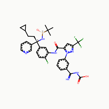 CC(C)(C)[S@@+]([O-])N[C@@](CCC1CC1)(c1cccnc1)c1ccc(F)c(NC(=O)c2cc(C(F)(F)F)nn2-c2cccc(C(=N)NC(=O)O)c2)c1